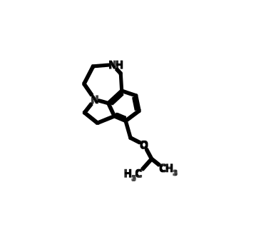 CC(C)OCc1ccc2c3c1CCN3CCNC2